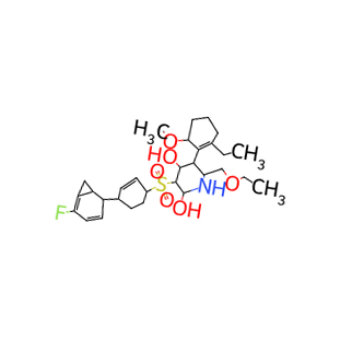 CCOCC1NC(O)C(S(=O)(=O)C2C=CC(C3C=CC(F)=C4CC43)CC2)C(O)C1C1=C(CC)CCCC1OC